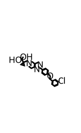 OC(O)C1(CN2CCc3nc(-c4ccc(OCc5cccc(Cl)c5)cc4)ncc3C2)CC1